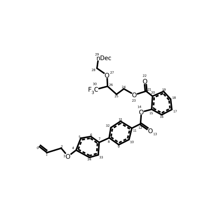 C=CCOc1ccc(-c2ccc(C(=O)Oc3ccccc3C(=O)OCCC(OCCCCCCCCCCC)C(F)(F)F)cc2)cc1